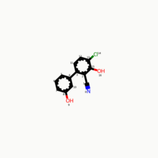 N#Cc1c(-c2cccc(O)c2)ccc(Cl)c1O